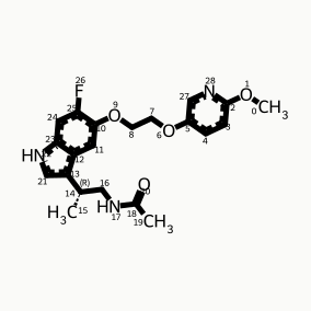 COc1ccc(OCCOc2cc3c([C@@H](C)CNC(C)=O)c[nH]c3cc2F)cn1